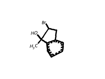 CC1(O)c2ccccc2CC1Br